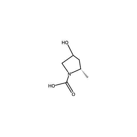 C[C@H]1CC(O)CN1C(=O)O